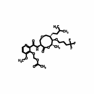 COc1ccnc(C(=O)N[C@H]2COC[C@H](CCC(C)C)[C@@H](OCCCC(F)(F)F)[C@H](C)OC2=O)c1OCOC(C)=O